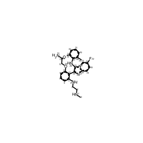 CNCCNc1cccc(OCC(N)=O)c1-c1nc2ccc(F)cn2c1Nc1c(C)cccc1C